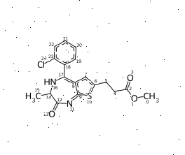 COC(=O)CCc1cc2c(s1)=NC(=O)C(C)NC=2c1ccccc1Cl